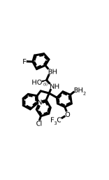 Bc1cc(OC(F)(F)F)cc(C(Cc2ccccc2)(N[C@@H](O)Bc2cccc(F)c2)c2ccc(Cl)cn2)c1